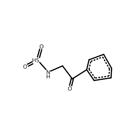 O=C(CN[SH](=O)=O)c1ccccc1